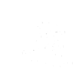 CC(C)(c1ccc(O)cc1)c1ccc(O)cc1.O=S(=O)(O)c1ccccc1.O=S(=O)(O)c1ccccc1